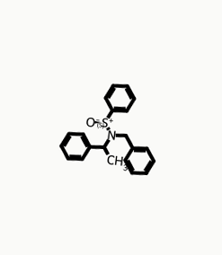 CC(c1ccccc1)N(Cc1ccccc1)[S@+]([O-])c1ccccc1